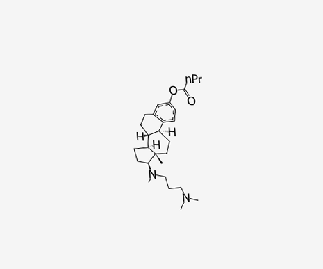 CCCC(=O)Oc1ccc2c(c1)CC[C@@H]1[C@@H]2CC[C@]2(C)[C@@H](N(C)CCCN(C)C)CC[C@@H]12